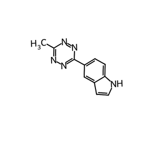 Cc1nnc(-c2ccc3[nH]ccc3c2)nn1